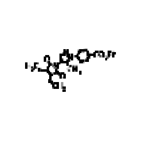 C=CC1=C(C=C)C(=O)N(c2cnn(-c3ccc(C(=O)OCC)cc3)c2C)C1=O